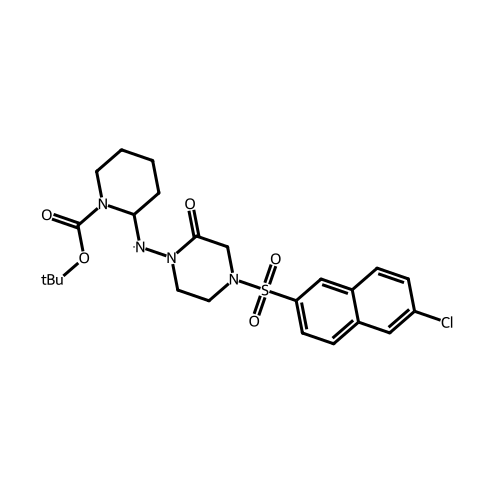 CC(C)(C)OC(=O)N1CCCCC1[N]N1CCN(S(=O)(=O)c2ccc3cc(Cl)ccc3c2)CC1=O